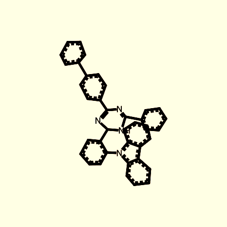 c1ccc(C2=NC(c3ccc(-c4ccccc4)cc3)=NC(c3ccccc3-n3c4ccccc4c4ccccc43)N2)cc1